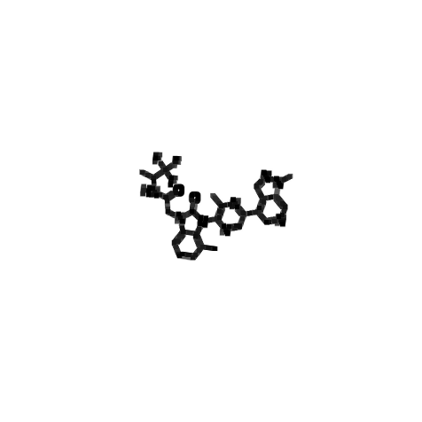 Cc1nc(-c2cncc3c2cnn3C)cnc1-n1c(=O)n(CC(=O)NC(C)C(F)(F)F)c2cccc(C)c21